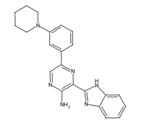 Nc1ncc(-c2cccc(N3CCCCC3)c2)nc1-c1nc2ccccc2[nH]1